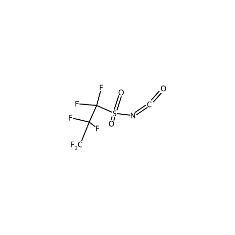 O=C=NS(=O)(=O)C(F)(F)C(F)(F)C(F)(F)F